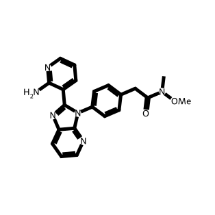 CON(C)C(=O)Cc1ccc(-n2c(-c3cccnc3N)nc3cccnc32)cc1